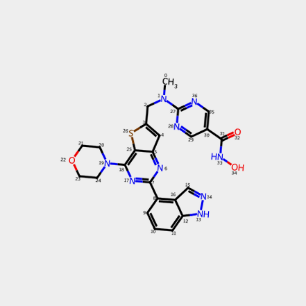 CN(Cc1cc2nc(-c3cccc4[nH]ncc34)nc(N3CCOCC3)c2s1)c1ncc(C(=O)NO)cn1